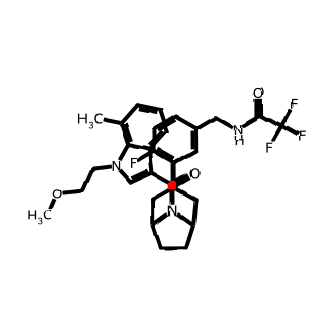 COCCn1cc(C(=O)N2C3CCC2CC(c2cc(CNC(=O)C(F)(F)F)ccc2F)C3)c2cccc(C)c21